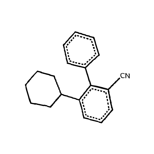 N#Cc1cccc(C2CCCCC2)c1-c1ccccc1